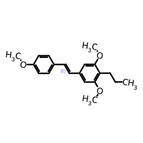 CCCc1c(OC)cc(/C=C/c2ccc(OC)cc2)cc1OC